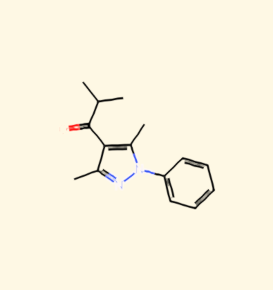 Cc1nn(-c2ccccc2)c(C)c1C(=O)C(C)C